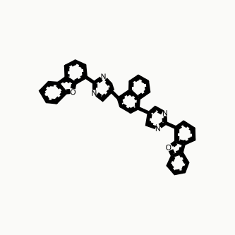 c1ccc2c(c1)oc1c(-c3ncc(-c4ccc(-c5cnc(-c6cccc7c6oc6ccccc67)nc5)c5ccccc45)cn3)cccc12